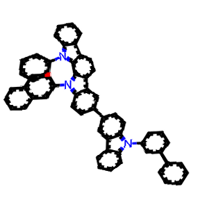 c1ccc(-c2cccc(-n3c4ccccc4c4cc(-c5ccc6c(c5)c5ccc7c8ccccc8n(-c8ccccc8)c7c5n6-c5ccc6ccccc6c5)ccc43)c2)cc1